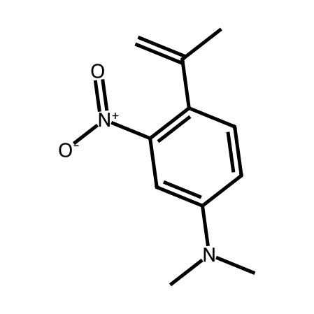 C=C(C)c1ccc(N(C)C)cc1[N+](=O)[O-]